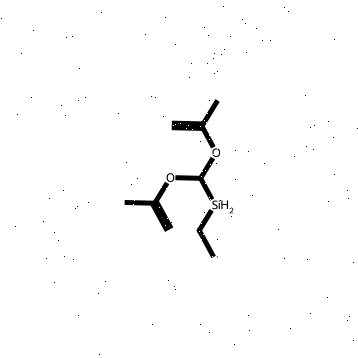 [CH2]C[SiH2]C(OC(=C)C)OC(=C)C